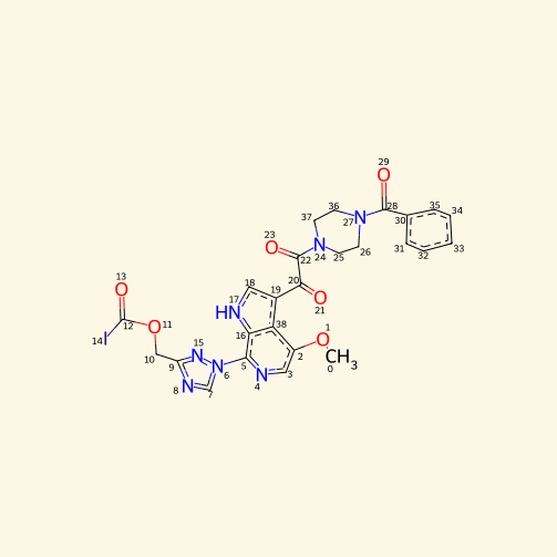 COc1cnc(-n2cnc(COC(=O)I)n2)c2[nH]cc(C(=O)C(=O)N3CCN(C(=O)c4ccccc4)CC3)c12